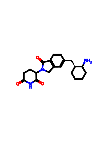 N[C@H]1CCCC[C@@H]1Cc1ccc2c(c1)CN(C1CCC(=O)NC1=O)C2=O